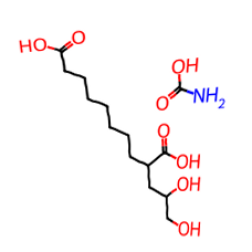 NC(=O)O.O=C(O)CCCCCCCC(CC(O)CO)C(=O)O